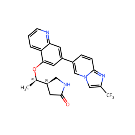 C[C@@H](Oc1cc(-c2ccc3nc(C(F)(F)F)cn3c2)cc2ncccc12)[C@H]1CNC(=O)C1